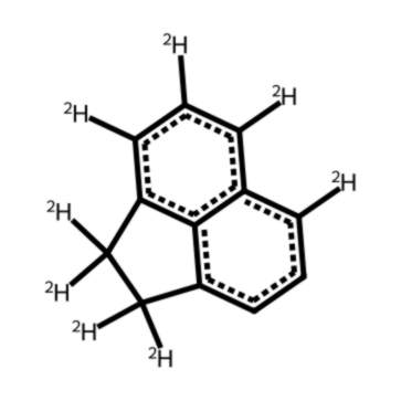 [2H]c1c([2H])c2c3c(ccc([2H])c3c1[2H])C([2H])([2H])C2([2H])[2H]